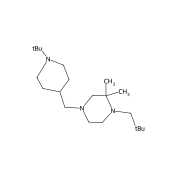 CC(C)(C)CN1CCN(CC2CCN(C(C)(C)C)CC2)CC1(C)C